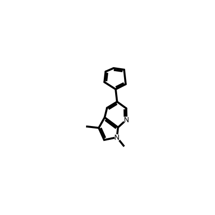 Cc1cn(C)c2ncc(-c3ccccc3)cc12